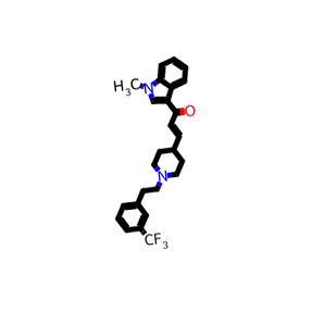 Cn1cc(C(=O)C=CC2CCN(CCc3cccc(C(F)(F)F)c3)CC2)c2ccccc21